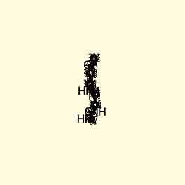 O=C(Nc1ccc(-c2ccnc(Nc3ccc(N4CCN(C(=O)CN5CCCC5)CC4)cc3)n2)cc1)[C@H]1CCCN1